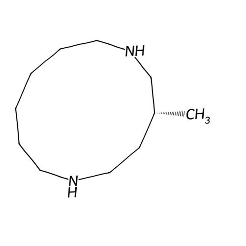 C[C@@H]1CCNCCCCCCNC1